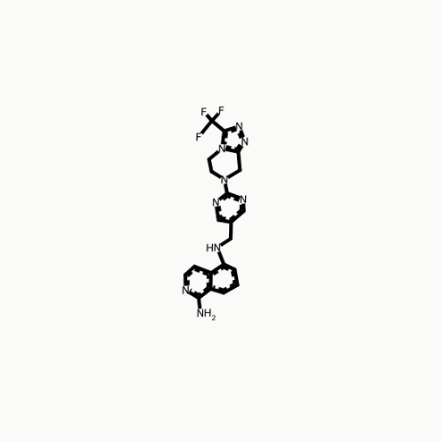 Nc1nccc2c(NCc3cnc(N4CCn5c(nnc5C(F)(F)F)C4)nc3)cccc12